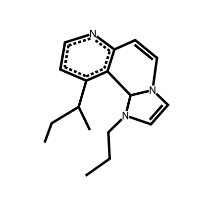 CCCN1C=CN2C=Cc3nccc(C(C)CC)c3C21